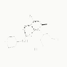 CCCC(CCC)n1c(=O)cc(N)c2cnc(NC3CCOCC3)nc21